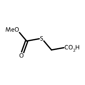 COC(=O)SCC(=O)O